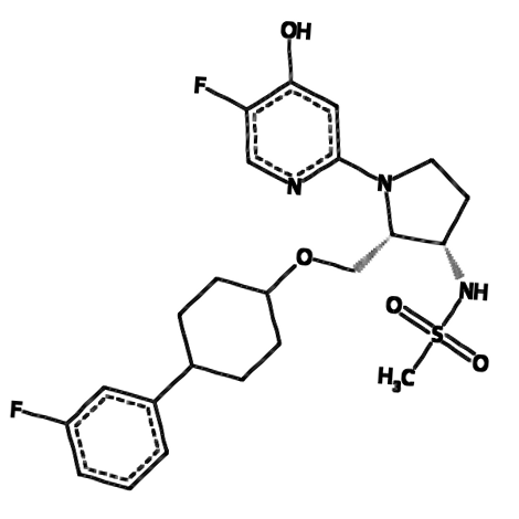 CS(=O)(=O)N[C@H]1CCN(c2cc(O)c(F)cn2)[C@H]1COC1CCC(c2cccc(F)c2)CC1